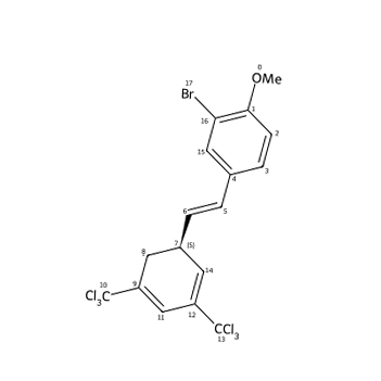 COc1ccc(C=C[C@@H]2[CH]C(C(Cl)(Cl)Cl)=CC(C(Cl)(Cl)Cl)=C2)cc1Br